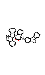 c1ccc2c(c1)-c1ncc3ccccc3c1C21c2ccccc2N(c2ccc3oc4ccccc4c3c2)c2ccccc21